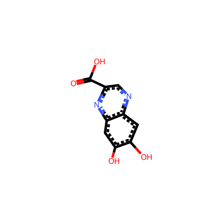 O=C(O)c1cnc2cc(O)c(O)cc2n1